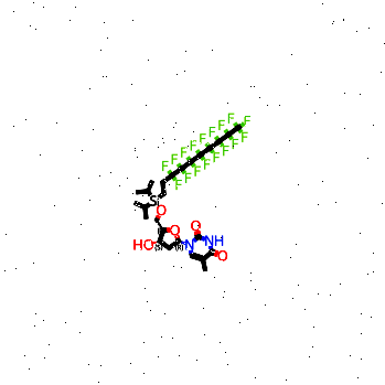 Cc1cn([C@H]2C[C@H](O)[C@@H](CO[Si](CCC(F)(F)C(F)(F)C(F)(F)C(F)(F)C(F)(F)C(F)(F)C(F)(F)C(F)(F)F)(C(C)C)C(C)C)O2)c(=O)[nH]c1=O